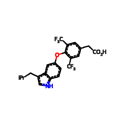 CC(C)Cc1c[nH]c2ccc(Oc3c(C(F)(F)F)cc(CC(=O)O)cc3C(F)(F)F)cc12